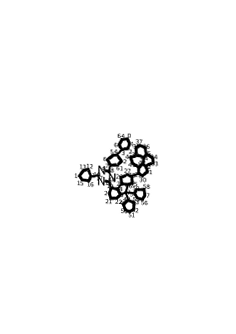 c1ccc(-c2ccc(-c3nc(-c4ccccc4)nc(-c4cccc5c4-c4ccc(-c6ccc7ccc8cccc9ccc6c7c89)cc4C5(c4ccccc4)c4ccccc4)n3)cc2)cc1